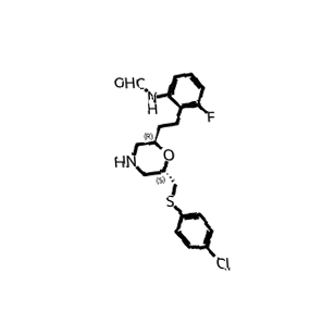 O=CNc1cccc(F)c1CC[C@@H]1CNC[C@@H](CSc2ccc(Cl)cc2)O1